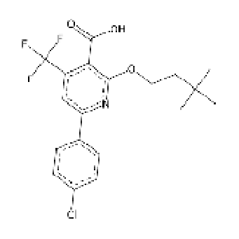 CC(C)(C)CCOc1nc(-c2ccc(Cl)cc2)cc(C(F)(F)F)c1C(=O)O